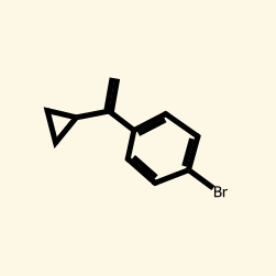 C=C(c1ccc(Br)cc1)C1CC1